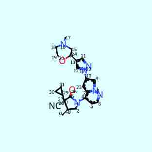 C[C@@H]1CN(c2ccnn3cc(-n4cc([C@@H]5CN(C)CCO5)cn4)cc23)C(=O)[C@]1(C#N)C1CC1